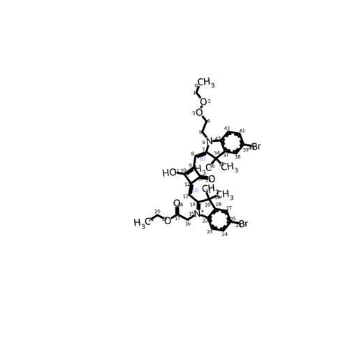 CCOOCCN1/C(=C/C2=C(O)C(=C/C3=[N+](CC(=O)OCC)c4ccc(Br)cc4C3(C)C)/C2=O)C(C)(C)c2cc(Br)ccc21